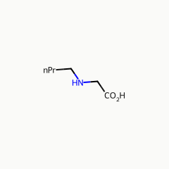 CCCCNCC(=O)O